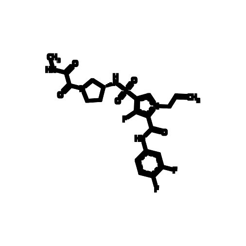 C=CCn1cc(S(=O)(=O)N[C@@H]2CCN(C(=O)C(=O)NC)C2)c(F)c1C(=O)Nc1ccc(F)c(F)c1